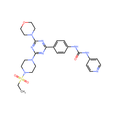 CCS(=O)(=O)N1CCN(c2nc(-c3ccc(NC(=O)Nc4ccncc4)cc3)nc(N3CCOCC3)n2)CC1